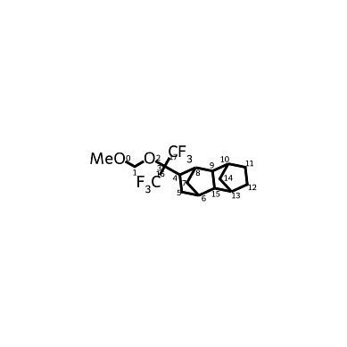 COCOC(C1CC2CC1C1C3CCC(C3)C21)(C(F)(F)F)C(F)(F)F